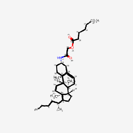 CC(C)CCC[C@@H](C)C1CC[C@H]2[C@]3(C)CC=C4C[C@@H](NC(=O)COC(=O)CCCCC(=O)O)CC[C@]4(C)[C@H]3CC[C@]12C